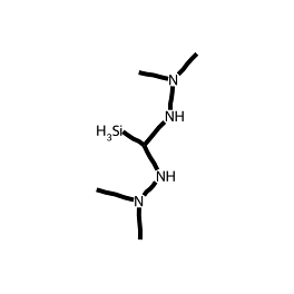 CN(C)NC([SiH3])NN(C)C